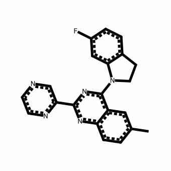 Cc1ccc2nc(-c3cnccn3)nc(N3CCc4ccc(F)cc43)c2c1